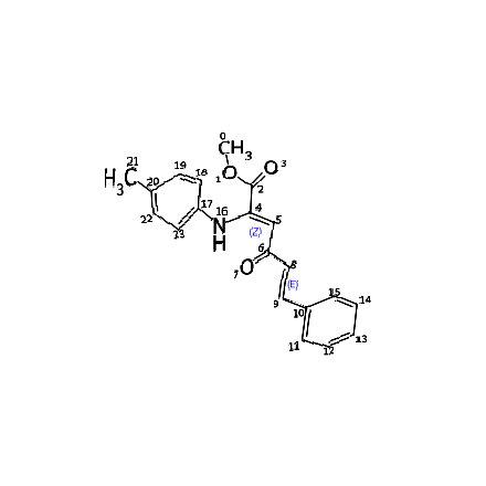 COC(=O)/C(=C/C(=O)/C=C/c1ccccc1)Nc1ccc(C)cc1